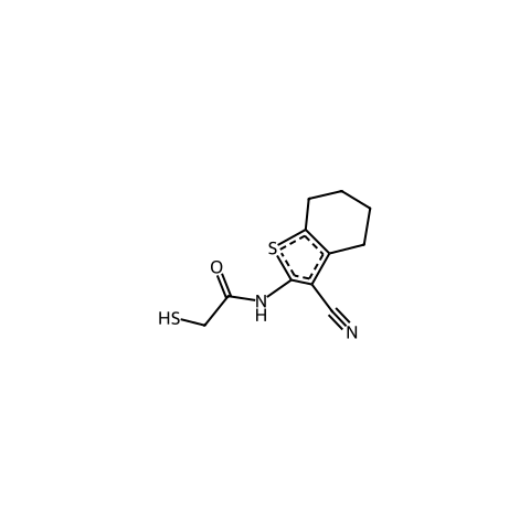 N#Cc1c(NC(=O)CS)sc2c1CCCC2